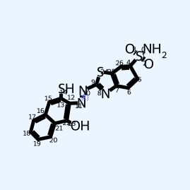 NS(=O)(=O)c1ccc2nc(/N=N/c3c(S)cc4ccccc4c3O)sc2c1